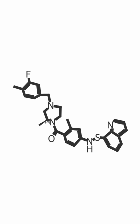 Cc1ccc(CN2CCN(C(=O)c3ccc(NSc4cccc5cccnc45)cc3C)[C@@H](C)C2)cc1F